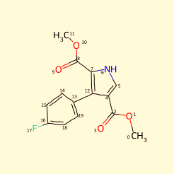 COC(=O)c1c[nH]c(C(=O)OC)c1-c1ccc(F)cc1